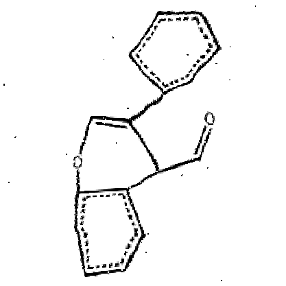 O=CC1C(c2ccccc2)=COc2ccccc21